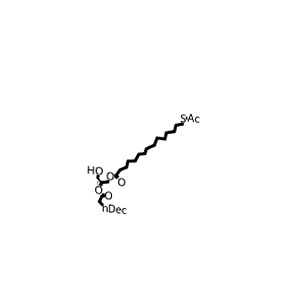 CCCCCCCCCCCC(=O)O[C@@H](CO)COC(=O)CCCCCCCCCCCCCCSC(C)=O